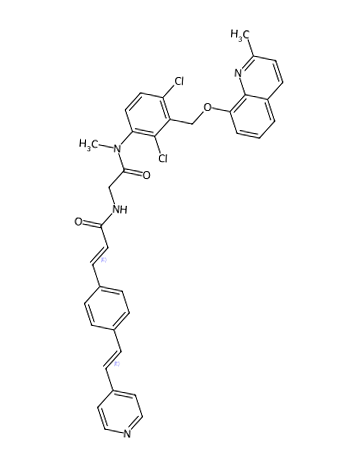 Cc1ccc2cccc(OCc3c(Cl)ccc(N(C)C(=O)CNC(=O)/C=C/c4ccc(/C=C/c5ccncc5)cc4)c3Cl)c2n1